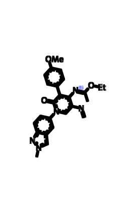 C=Nc1cn(-c2ccc3nn(C)cc3c2)c(=O)c(-c2ccc(OC)cc2)c1/N=C(\C)OCC